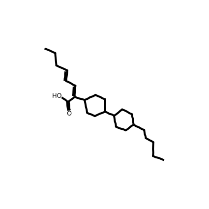 CCCC=CC=C(C(=O)O)C1CCC(C2CCC(CCCCC)CC2)CC1